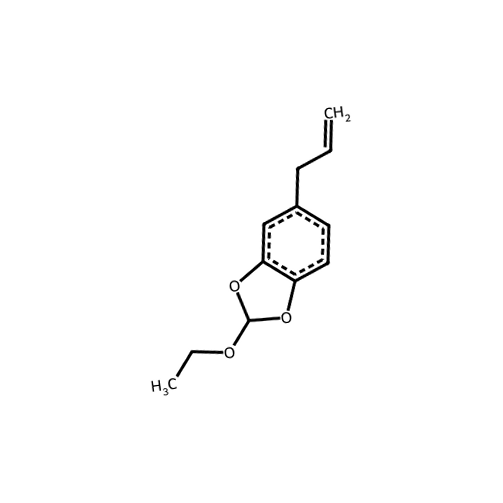 C=CCc1ccc2c(c1)OC(OCC)O2